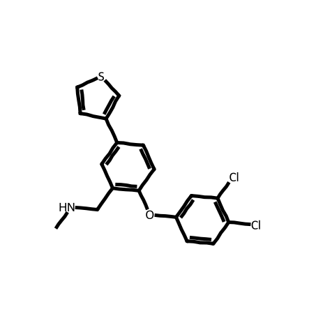 CNCc1cc(-c2ccsc2)ccc1Oc1ccc(Cl)c(Cl)c1